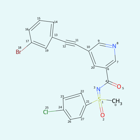 CS(=O)(=NC(=O)c1cncc(C#Cc2cccc(Br)c2)c1)c1ccc(Cl)cc1